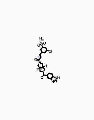 CS(=O)(=O)c1cc(Cl)cc(/C=C/C(=O)N2C[C@@H]3CN(C(=O)c4ccc5[nH]nnc5c4)C[C@H]3C2)c1